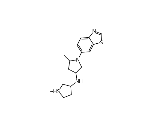 CC1CC(NC2CC[SH](C)C2)CN1c1ccc2ncsc2c1